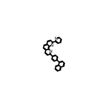 c1ccc(-c2ccc3ccc4ccc(-c5ccc(-c6cccc7ccccc67)cc5)nc4c3n2)nc1